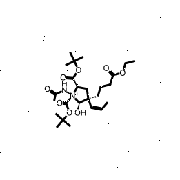 C/C=C\[C@]1(CCCC(=O)OCC)C[C@H](C(=O)OC(C)(C)C)[N@@+](NC(C)=O)(C(=O)OC(C)(C)C)[C@@H]1O